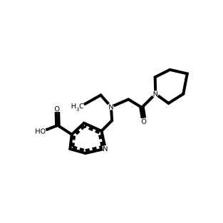 CCN(CC(=O)N1CCCCC1)Cc1cc(C(=O)O)ccn1